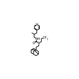 CC(CNC(=O)N(CCC(F)(F)F)CCC12CC3CC(CC(C3)C1)C2)Cc1ccncc1